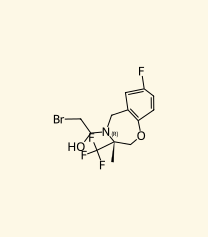 C[C@]1(C(F)(F)F)COc2ccc(F)cc2CN1C(O)CBr